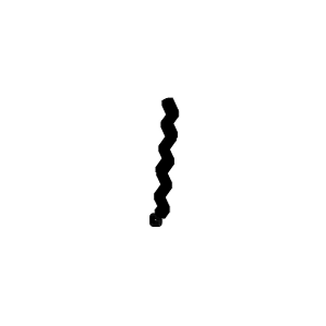 C=CC=CCC=CCCC=O